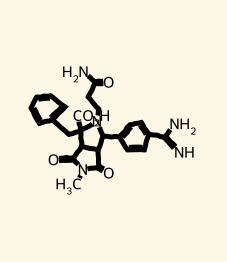 CN1C(=O)C2C(c3ccc(C(=N)N)cc3)N(CCC(N)=O)C(Cc3ccccc3)(C(=O)O)C2C1=O